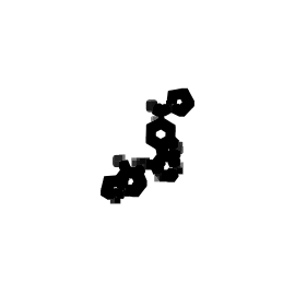 O=C([C@H]1CCc2c(sc3ncnc(Nc4ccn5nccc5c4Cl)c23)C1)N1CCCC1